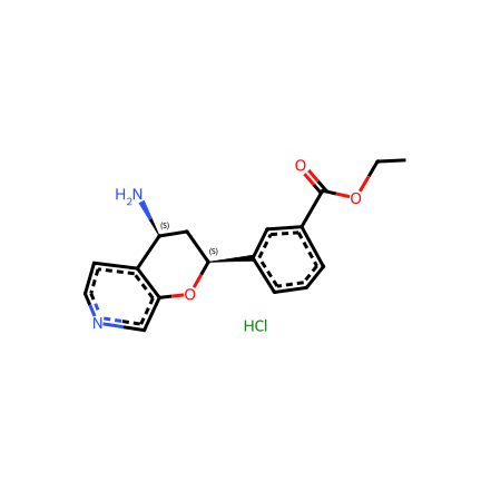 CCOC(=O)c1cccc([C@@H]2C[C@H](N)c3ccncc3O2)c1.Cl